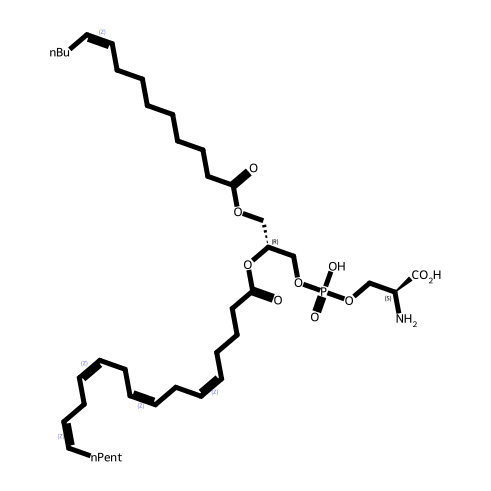 CCCC/C=C\CCCCCCCC(=O)OC[C@H](COP(=O)(O)OC[C@H](N)C(=O)O)OC(=O)CCC/C=C\C/C=C\C/C=C\C/C=C\CCCCC